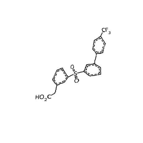 O=C(O)Cc1cccc(S(=O)(=O)c2cccc(-c3ccc(C(F)(F)F)cc3)c2)c1